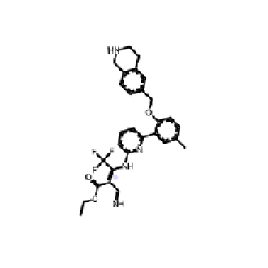 CCOC(=O)/C(C=N)=C(/Nc1cccc(-c2cc(C)ccc2OCc2ccc3c(c2)CCNC3)n1)C(F)(F)F